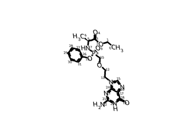 CCOC(=O)[C@H](C)NP(=O)(COCCn1cnc2c(=O)[nH]c(N)nc21)Oc1ccccc1